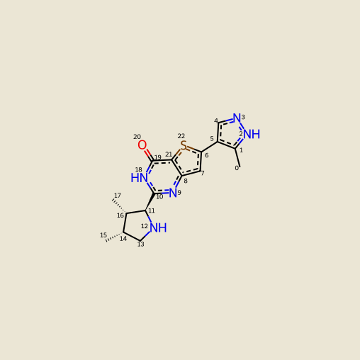 Cc1[nH]ncc1-c1cc2nc([C@H]3NC[C@H](C)[C@@H]3C)[nH]c(=O)c2s1